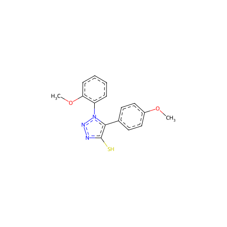 COc1ccc(-c2c(S)nnn2-c2ccccc2OC)cc1